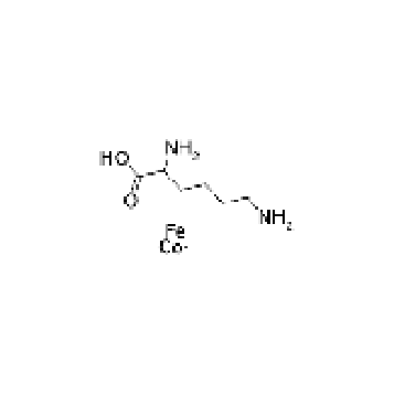 NCCCCC(N)C(=O)O.[Co].[Fe]